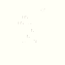 O=C(Nc1ccc(C(F)(F)F)cc1)Nc1cccc(-n2c(=O)c(Cc3ccccc3)nc3cccnc32)c1